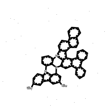 CC(C)(C)c1ccc2c(c1)c1cc(C(C)(C)C)cc3c1n2-c1cccc2c1B3c1cc3c4ccccc4c4ccccc4c3c3c4c5ccc6ccccc6c5ccc4n-2c13